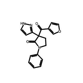 O=C(c1ccoc1)C1(c2cc[nH]n2)CCN(c2ccccc2)C1=O